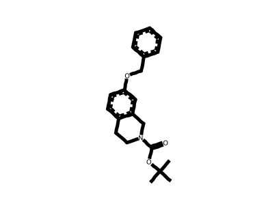 CC(C)(C)OC(=O)N1CCc2ccc(OCc3ccccc3)cc2C1